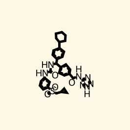 O=C(Nc1cccc(S(=O)(=O)CC2CC2)c1)NC(c1ccc(C(=O)Nc2nn[nH]n2)cc1)c1ccc(C2CCCCC2)cc1